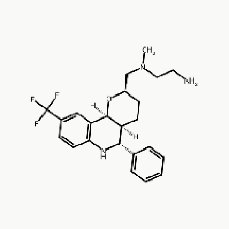 CN(CCN)C[C@H]1CC[C@@H]2[C@H](O1)c1cc(C(F)(F)F)ccc1N[C@H]2c1ccccc1